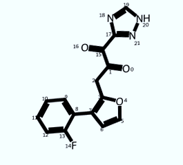 O=C(Cc1occc1-c1ccccc1F)C(=O)c1nc[nH]n1